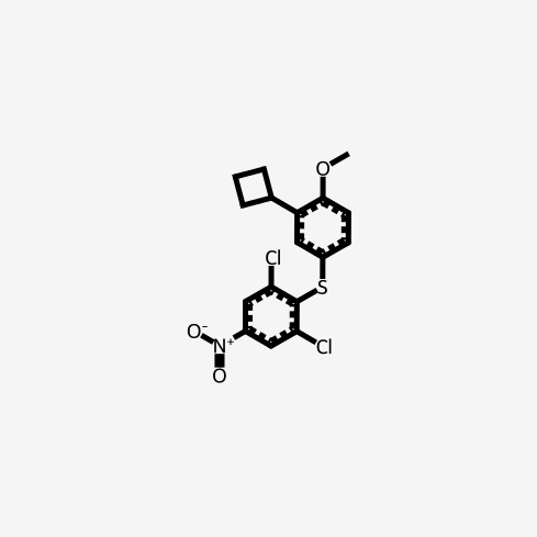 COc1ccc(Sc2c(Cl)cc([N+](=O)[O-])cc2Cl)cc1C1CCC1